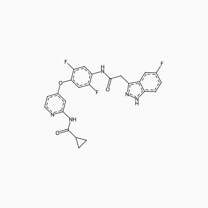 O=C(Cc1n[nH]c2ccc(F)cc12)Nc1cc(F)c(Oc2ccnc(NC(=O)C3CC3)c2)cc1F